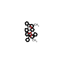 Cc1ccc2c(c1)c1ccccc1n2-c1cccc(-c2nc(-c3ccccc3)nc(-c3ccccc3)n2)c1-c1c(-n2c3ccccc3c3cc(C)ccc32)cccc1C(F)(F)F